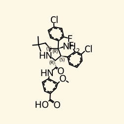 COc1cc(C(=O)O)ccc1NC(=O)[C@@H]1N[C@@H](CC(C)(C)C)[C@](N)(c2ccc(Cl)cc2F)[C@H]1c1cccc(Cl)c1F